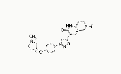 CN1CC[C@@H](Oc2ccc(-n3cc(-c4cc5cc(F)ccc5[nH]c4=O)nn3)cc2)C1